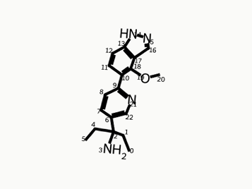 CCC(N)(CC)c1ccc(-c2ccc3[nH]ncc3c2OC)nc1